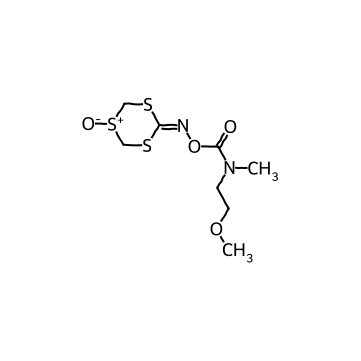 COCCN(C)C(=O)ON=C1SC[S+]([O-])CS1